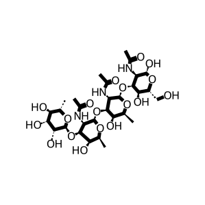 CC(=O)N[C@@H]1[C@H](O[C@@H]2[C@H](O)[C@H](C)O[C@@H](O[C@H]3[C@H](O)[C@@H](CO)O[C@@H](O)[C@@H]3NC(C)=O)[C@H]2NC(C)=O)O[C@@H](C)[C@@H](O)[C@H]1O[C@@H]1O[C@@H](C)[C@H](O)[C@@H](O)[C@H]1O